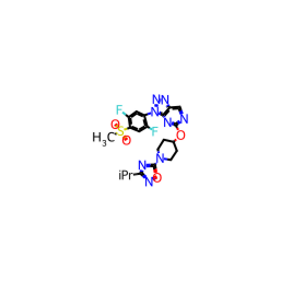 CC(C)c1noc(N2CCC(Oc3ncc4nnn(-c5cc(F)c(S(C)(=O)=O)cc5F)c4n3)CC2)n1